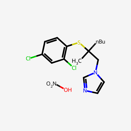 CCCCC(C)(Cn1ccnc1)Sc1ccc(Cl)cc1Cl.O=[N+]([O-])O